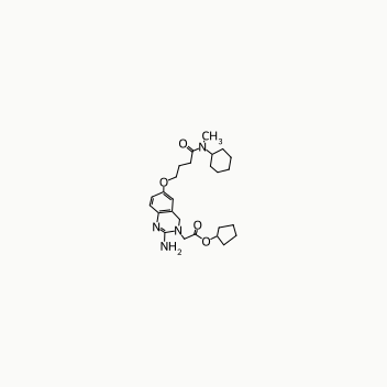 CN(C(=O)CCCOc1ccc2c(c1)CN(CC(=O)OC1CCCC1)C(N)=N2)C1CCCCC1